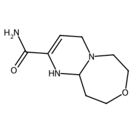 NC(=O)C1=CCN2CCOCCC2N1